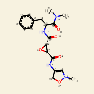 CN1C=C(NC(=O)[C@H]2O[C@@H]2C(=O)N[C@@H](Cc2ccccc2)C(=O)N(C)C)CO1